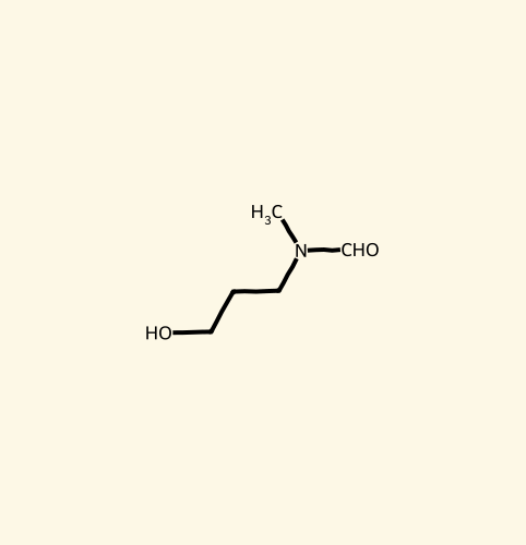 CN(C=O)CCCO